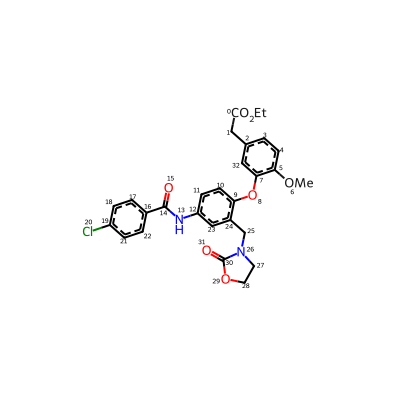 CCOC(=O)Cc1ccc(OC)c(Oc2ccc(NC(=O)c3ccc(Cl)cc3)cc2CN2CCOC2=O)c1